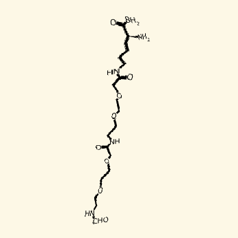 BC(=O)[C@@H](N)CCCCNC(=O)COCCOCCNC(=O)COCCOCCNC=O